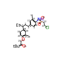 CCC(CCc1ccc(NS(=O)(=O)CCCl)c(C)c1)c1ccc(OCC(=O)C(C)(C)C)c(C)c1